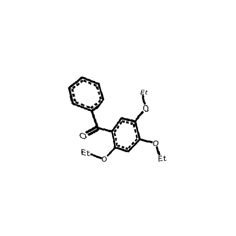 CCOc1cc(OCC)c(C(=O)c2ccccc2)cc1OCC